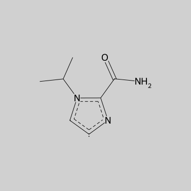 CC(C)n1c[c]nc1C(N)=O